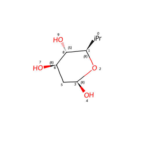 CC(C)[C@H]1O[C@@H](O)C[C@@H](O)[C@@H]1O